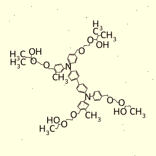 CCC(O)OCCOCc1ccc(N(c2ccc(-c3ccc(N(c4ccc(COCCOC(O)C(C)C)cc4)c4ccc(COCCOC(O)C(C)C)c(C)c4)cc3)cc2)c2ccc(COCCOC(O)CC)c(C)c2)cc1